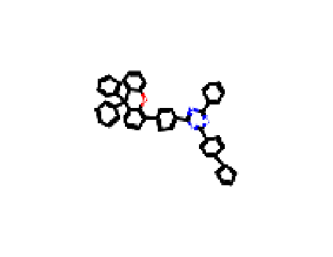 c1ccc(-c2ccc(-c3nc(-c4ccccc4)nc(-c4ccc(-c5cccc6c5Oc5ccccc5C6(c5ccccc5)c5ccccc5)cc4)n3)cc2)cc1